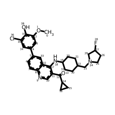 COc1cc(-c2ccc3ncc(C(=O)C4CC4)c(NC4CCC(CN5CCC(F)C5)CC4)c3c2)cc(Cl)c1O